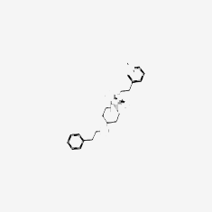 O=S(=O)(C[CH]c1cccnc1)N1CCC(OCCc2ccccc2)CC1